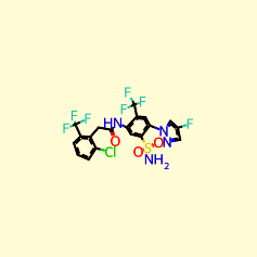 NS(=O)(=O)c1cc(NC(=O)Cc2c(Cl)cccc2C(F)(F)F)c(C(F)(F)F)cc1-n1cc(F)cn1